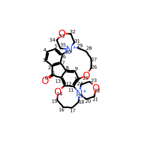 O=C1c2cccc3c2-c2cc(c4c(c21)OCCCC[N+]41CCOCC1)OCCCC[N+]31CCOCC1